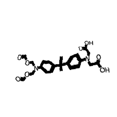 CC(C)(c1ccc(N(COC=O)COC=O)cc1)c1ccc(N(CC(=O)O)CC(=O)O)cc1